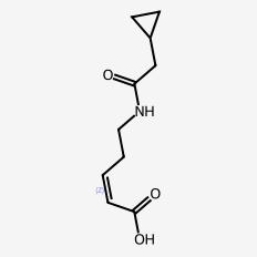 O=C(O)/C=C\CCNC(=O)CC1CC1